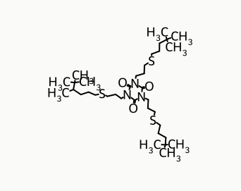 CC(CCCSCCCn1c(=O)n(CCCSCCCC(C)(C)C)c(=O)n(CCCSCCCC(C)(C)C)c1=O)C(C)(C)C